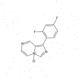 Fc1ccc(C2=C3C=NC=C[N+]3(Cl)C=N2)c(F)c1